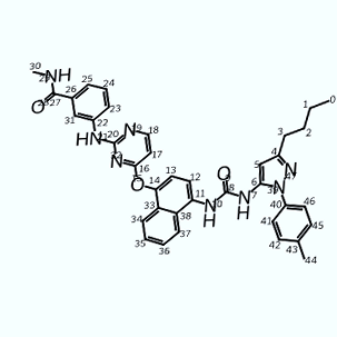 CCCCc1cc(NC(=O)Nc2ccc(Oc3ccnc(Nc4cccc(C(=O)NC)c4)n3)c3ccccc23)n(-c2ccc(C)cc2)n1